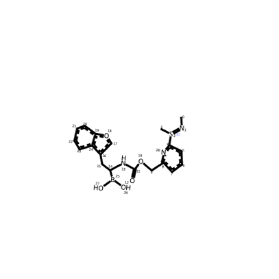 C/N=S(\C)c1cccc(COC(=O)NC(Cc2coc3ccccc23)B(O)O)n1